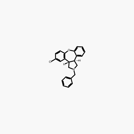 Clc1ccc2c(c1)[C@H]1CN(Cc3ccccc3)C[C@@H]1c1ccccc1O2